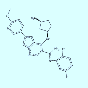 COc1ccc(-c2cc3c(N[C@@H]4CC[C@H](N)C4)c(/C(N)=N/c4cc(F)ccc4Cl)cnn3c2)cn1